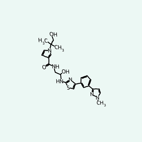 Cn1ccc(-c2cccc(-c3csc(NC(O)CNC(=O)c4ccn(C(C)(C)CO)c4)n3)c2)n1